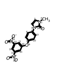 Cn1ccn(-c2ccc(Oc3cc([N+](=O)[O-])cc([N+](=O)[O-])c3)cc2)c1=O